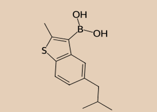 Cc1sc2ccc(CC(C)C)cc2c1B(O)O